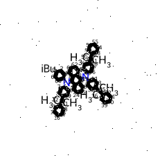 CCC(C)c1ccc(N(c2ccc(C(C)(C)c3ccccc3)cc2)c2c3ccccc3c(N(c3ccc(C(C)(C)c4ccccc4)cc3)c3ccc(C(C)(C)c4ccccc4)cc3)c3ccccc23)cc1